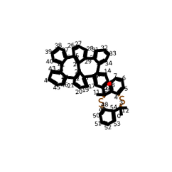 CC1(C)Sc2ccccc2C(C)(c2ccc3c(c2)c2cccc4c2-c2c(cccc2c2ccccc23)c2ccccc2c2ccccc42)Sc2ccccc21